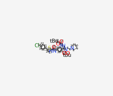 CC(C)(C)OC(=O)N(CCN1CCCCC1)c1nn(C(=O)OC(C)(C)C)c2cc(NC(=O)C3CC=C(c4ccc(Cl)cc4)S3)ccc12